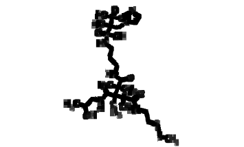 CSSCCNC(=O)C(C)(C)C(C)(C(=O)NCC(C)O)C(C)(C)C(=O)NCCCNP(=O)(O)C(O)(Cn1ccnc1)P(=O)(O)O